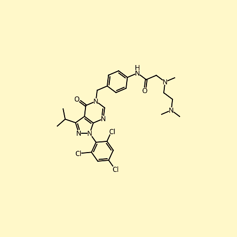 CC(C)c1nn(-c2c(Cl)cc(Cl)cc2Cl)c2ncn(Cc3ccc(NC(=O)CN(C)CCN(C)C)cc3)c(=O)c12